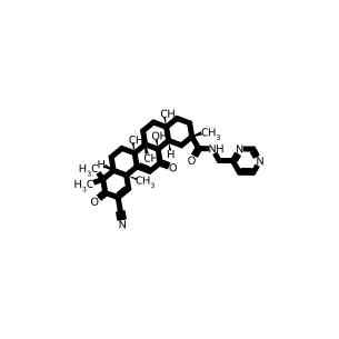 CC1(C)C(=O)C(C#N)=C[C@]2(C)C3=CC(=O)[C@]4(O)[C@@H]5C[C@@](C)(C(=O)NCc6ccncn6)CC[C@]5(C)CC[C@@]4(C)[C@]3(C)CC[C@@H]12